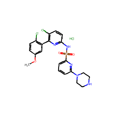 COc1ccc(Cl)c(-c2nc(NS(=O)(=O)c3cccc(N4CCNCC4)n3)ccc2Cl)c1.Cl